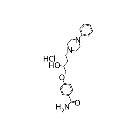 Cl.NC(=O)c1ccc(OCC(O)CCN2CCN(c3ccccc3)CC2)cc1